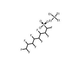 CC[N+](CC)(CC)CC.O=S(=O)([O-])C(F)C(F)C(F)C(F)C(F)C(F)C(F)C(F)F